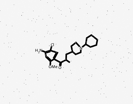 COc1cc(N)c(Cl)cc1C(=O)C(C)CC1CCN(C2CCCCC2)CC1